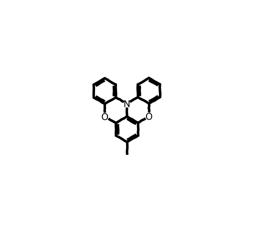 Cc1cc2c3c(c1)Oc1ccccc1N3c1ccccc1O2